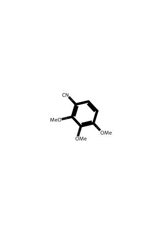 [C-]#[N+]c1ccc(OC)c(OC)c1OC